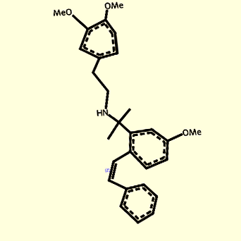 COc1ccc(/C=C\c2ccccc2)c(C(C)(C)NCCc2ccc(OC)c(OC)c2)c1